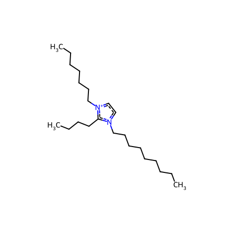 CCCCCCCCCn1cc[n+](CCCCCCC)c1CCCC